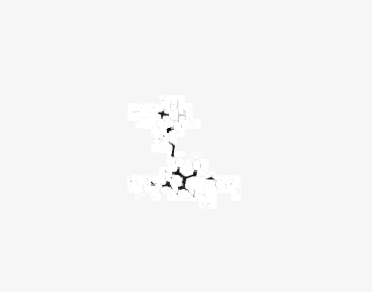 CCOC(=O)c1c(N)nc(SC)nc1OCCNC(=O)OC(C)(C)C